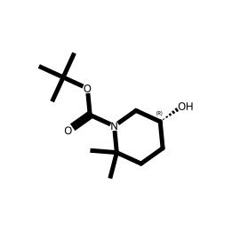 CC(C)(C)OC(=O)N1C[C@H](O)CCC1(C)C